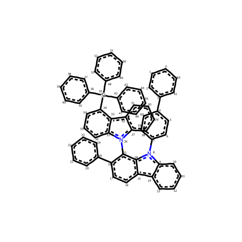 c1ccc(-c2ccc(-n3c4ccccc4c4ccc(-c5ccccc5)c(-n5c6ccccc6c6c([Si](c7ccccc7)(c7ccccc7)c7ccccc7)cccc65)c43)cc2)cc1